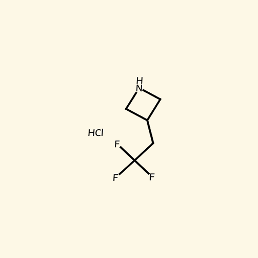 Cl.FC(F)(F)CC1CNC1